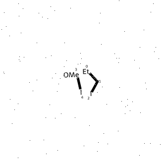 CCCI.COI